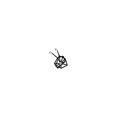 CC[C]12[CH]3[CH]4[CH]5[CH]1[V]45321678[CH]2[CH]1[CH]6[C]7(CC)[CH]28